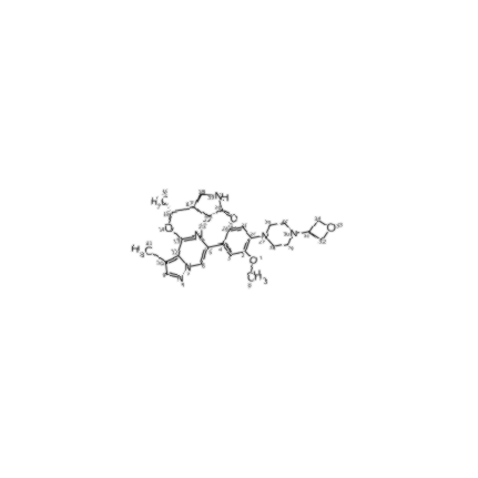 COc1cc(-c2cn3ncc(C)c3c(O[C@H](C)[C@H]3CNC(=O)C3)n2)ccc1N1CCN(C2COC2)CC1